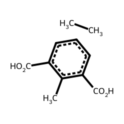 CC.Cc1c(C(=O)O)cccc1C(=O)O